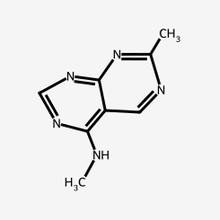 CNc1ncnc2nc(C)ncc12